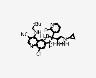 BC(Nc1cc(Cl)c2ncc(C#N)c(NCC(C)(C)C)c2c1)(C1=CN(C2CC2)NN1)c1cccnc1F